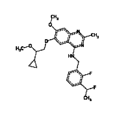 COc1cc2nc(C)nc(NCc3cccc(C(C)F)c3F)c2cc1OCC(OC)C1CC1